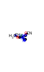 CN(C)CCOc1ccc(-c2nc(-c3cnn4ccccc34)nc(NC3CCCN(C(=O)CC#N)C3)c2F)cc1